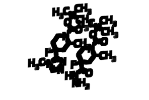 C[C@H]1C[C@](F)(C(=O)NN)CCN1C(=O)OC(C)(C)C.C[C@H]1C[C@](F)(c2nncn2C)CCN1C(=O)OC(C)(C)C